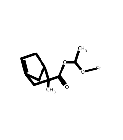 CCOC(C)OC(=O)C1(C)CC2=CCC1C2